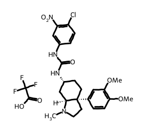 COc1ccc([C@@]23CC[C@@H](NC(=O)Nc4ccc(Cl)c([N+](=O)[O-])c4)C[C@@H]2N(C)CC3)cc1OC.O=C(O)C(F)(F)F